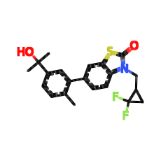 Cc1ccc(C(C)(C)O)cc1-c1ccc2c(c1)sc(=O)n2CC1CC1(F)F